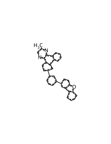 Cc1cnc2c3ccc(-c4cccc(-c5ccc6oc7ccccc7c6c5)c4)cc3c3ccccc3c2n1